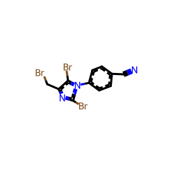 N#Cc1ccc(-n2c(Br)nc(CBr)c2Br)cc1